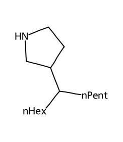 CCCCCCC(CCCCC)C1CCNC1